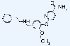 CCOc1cc(CNCCc2ccccc2)ccc1Oc1ccc(C(N)=O)cn1